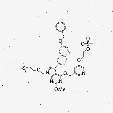 COc1nc(OCc2cncc(OCCOS(C)(=O)=O)c2)c2c(-c3ccc4ncc(OCc5ccccc5)cc4c3)cn(COCC[Si](C)(C)C)c2n1